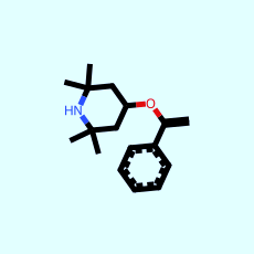 C=C(OC1CC(C)(C)NC(C)(C)C1)c1ccccc1